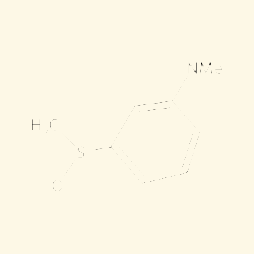 CNc1cccc([S+](C)[O-])c1